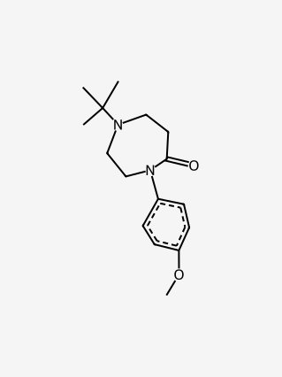 COc1ccc(N2CCN(C(C)(C)C)CCC2=O)cc1